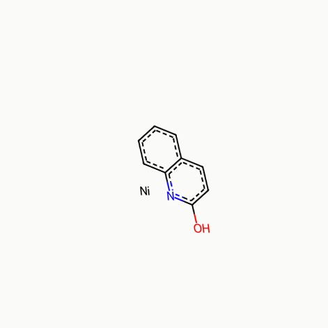 Oc1ccc2ccccc2n1.[Ni]